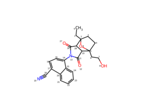 CCC12CCC(CCO)(O1)C1C(=O)N(c3ccc(C#N)c4ccccc34)C(=O)C12